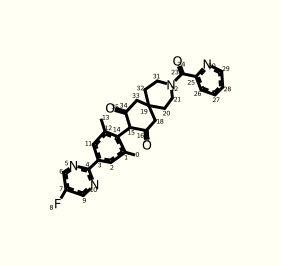 Cc1cc(-c2ncc(F)cn2)cc(C)c1C1C(=O)CC2(CCN(C(=O)c3ccccn3)CC2)CC1=O